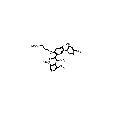 CCOC(=O)CCCOc1cc(Cl)c(-c2cnc(C(F)(F)F)cc2C)cc1C(=O)N(C)c1c(C)cccc1OC